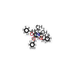 C=CC[C@@H]1[C@@H](OCc2ccccc2)[C@H](OCc2ccccc2)[C@@H](COCc2ccccc2)N1C(C)(C)C